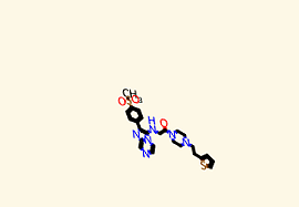 CS(=O)(=O)c1ccc(-c2nc3cnccn3c2NCC(=O)N2CCN(CCc3cccs3)CC2)cc1